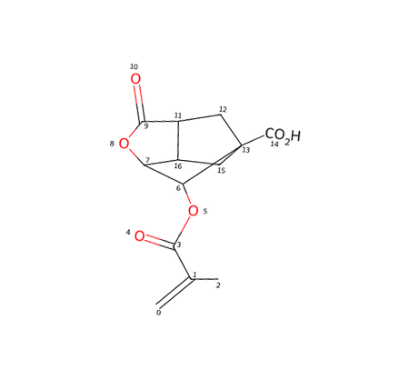 C=C(C)C(=O)OC1C2OC(=O)C3CC1(C(=O)O)CC32